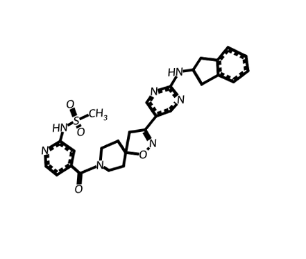 CS(=O)(=O)Nc1cc(C(=O)N2CCC3(CC2)CC(c2cnc(NC4Cc5ccccc5C4)nc2)=NO3)ccn1